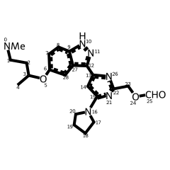 CNCCC(C)Oc1ccc2[nH]nc(-c3cc(N4CCCC4)nc(COC=O)n3)c2c1